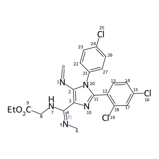 C=Nc1c(/C(=N\C)NCC(=O)OCC)nc(-c2ccc(Cl)cc2Cl)n1-c1ccc(Cl)cc1